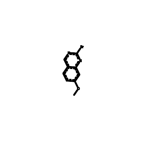 COc1ccc2cnc(Br)nc2c1